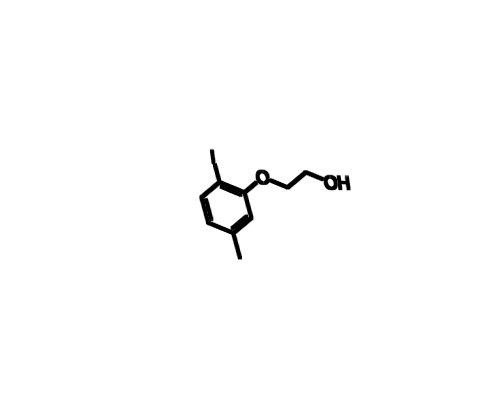 Cc1ccc(I)c(OCCO)c1